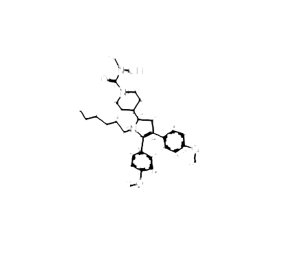 CCCCCCN1C(c2ccc(OC)cc2)=C(c2ccc(OC)cc2)CC1C1CCN(C(=O)N(C)O)CC1